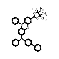 CC1(C)OB(c2ccc3c(c2)Oc2cc(N(c4ccccc4)c4ccc(-c5ccccc5)cc4)ccc2N3c2ccccc2)OC1(C)C